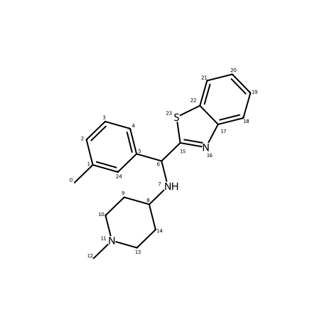 Cc1cccc(C(NC2CCN(C)CC2)c2nc3ccccc3s2)c1